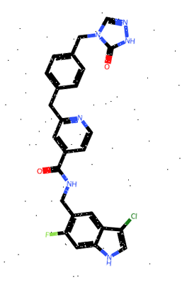 O=C(NCc1cc2c(Cl)c[nH]c2cc1F)c1ccnc(Cc2ccc(Cn3cn[nH]c3=O)cc2)c1